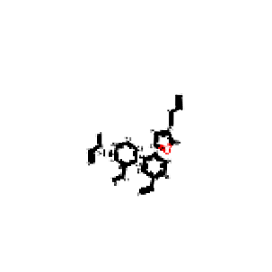 C=CC=C.C=CC=C.C=Cc1ccccc1.C=Cc1ccccc1.[LiH].c1ccoc1